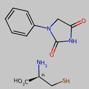 N[C@@H](CS)C(=O)O.O=C1CN(c2ccccc2)C(=O)N1